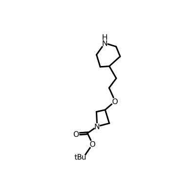 CC(C)(C)OC(=O)N1CC(OCCC2CCNCC2)C1